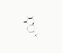 O=c1c(F)c(O)nc2n1CC[C@H](C(F)(F)F)N2